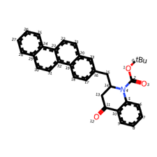 CC(C)(C)OC(=O)N1c2ccccc2C(=O)CC1Cc1ccc2c(ccc3c4ccccc4ccc23)c1